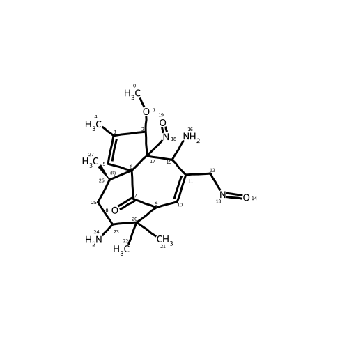 COC1C(C)=CC23C(=O)C(C=C(CN=O)C(N)C12N=O)C(C)(C)C(N)C[C@H]3C